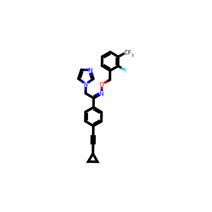 Fc1c(CO/N=C(\Cn2ccnc2)c2ccc(C#CC3CC3)cc2)cccc1C(F)(F)F